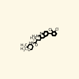 CC(Cc1cc2cc(-c3cccc(Cl)c3Cl)ccc2nc1N)C(=O)NC1CCOC(C)(C)C1